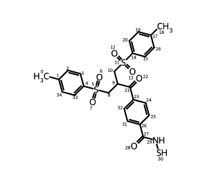 Cc1ccc(S(=O)(=O)CC(CS(=O)(=O)c2ccc(C)cc2)C(=O)c2ccc(C(=O)NS)cc2)cc1